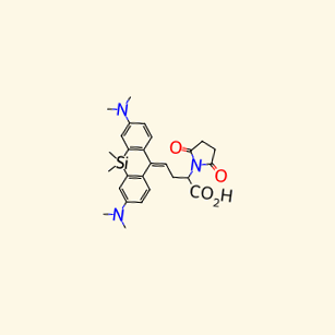 CN(C)c1ccc2c(c1)[Si](C)(C)c1cc(N(C)C)ccc1C2=CCC(C(=O)O)N1C(=O)CCC1=O